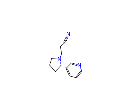 N#CCCN1CCC[C@H]1c1cccnc1